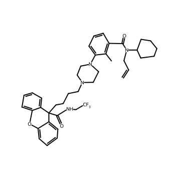 C=CCN(C(=O)c1cccc(N2CCN(CCCCC3(C(=O)NCC(F)(F)F)c4ccccc4Oc4ccccc43)CC2)c1C)C1CCCCC1